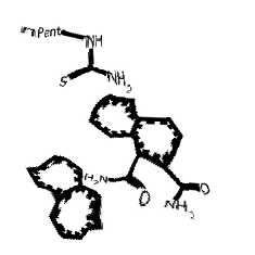 CCCCCNC(N)=S.NC(=O)c1ccc2ccccc2c1C(N)=O.c1ccc2ccccc2c1